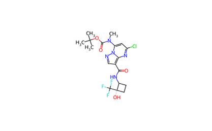 CN(C(=O)OC(C)(C)C)c1cc(Cl)nc2c(C(=O)NC3CC[C@@]3(O)C(F)(F)F)cnn12